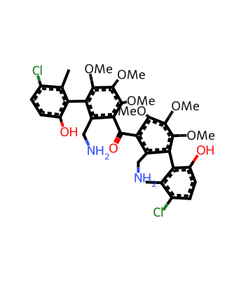 COc1c(OC)c(C(=O)c2c(CN)c(-c3c(O)ccc(Cl)c3C)c(OC)c(OC)c2OC)c(CN)c(-c2c(O)ccc(Cl)c2C)c1OC